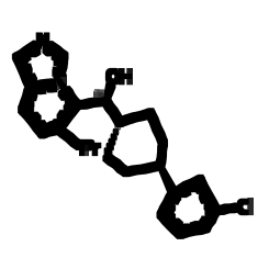 CC(C)c1ccc2cncn2c1[C@@H](O)[C@H]1CC[C@H](c2cccc(Cl)c2)CC1